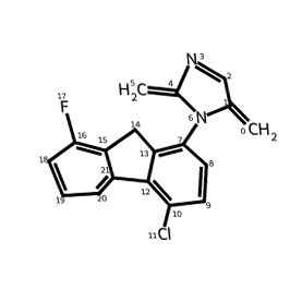 C=c1cnc(=C)n1-c1ccc(Cl)c2c1Cc1c(F)cccc1-2